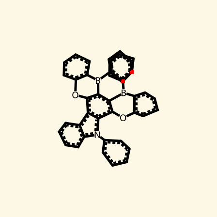 c1ccc(B2c3ccccc3Oc3c2c2c(c4c3c3ccccc3n4-c3ccccc3)Oc3ccccc3B2c2ccccc2)cc1